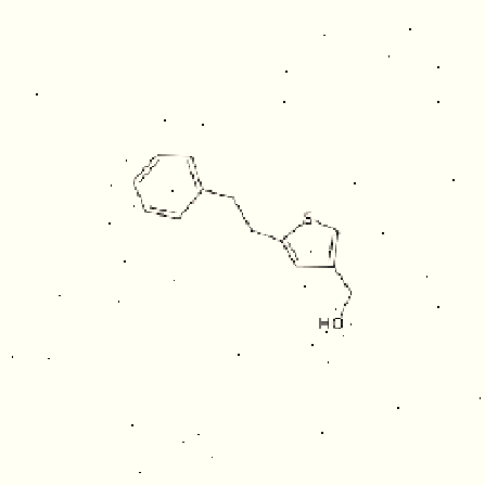 OCc1csc(CCc2ccccc2)c1